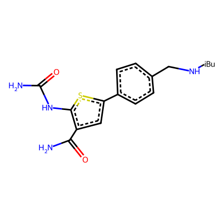 CCC(C)NCc1ccc(-c2cc(C(N)=O)c(NC(N)=O)s2)cc1